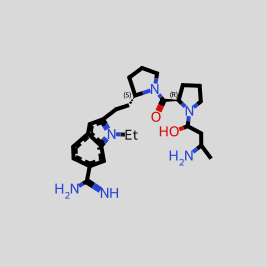 CCn1c(CC[C@@H]2CCCN2C(=O)[C@H]2CCCN2C(O)CC(C)N)cc2ccc(C(=N)N)cc21